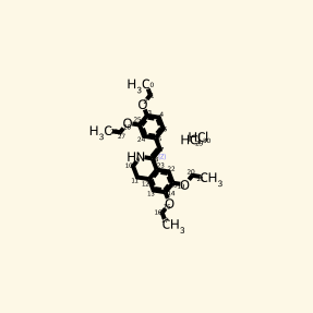 CCOc1ccc(/C=C2\NCCc3cc(OCC)c(OCC)cc32)cc1OCC.Cl.Cl